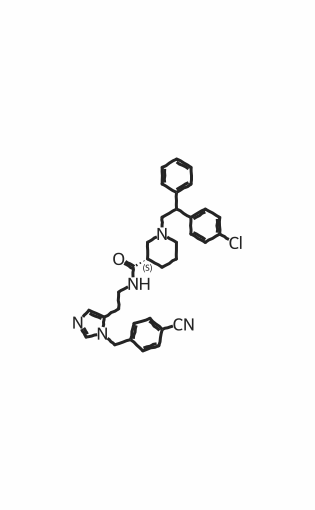 N#Cc1ccc(Cn2cncc2CCNC(=O)[C@H]2CCCN(CC(c3ccccc3)c3ccc(Cl)cc3)C2)cc1